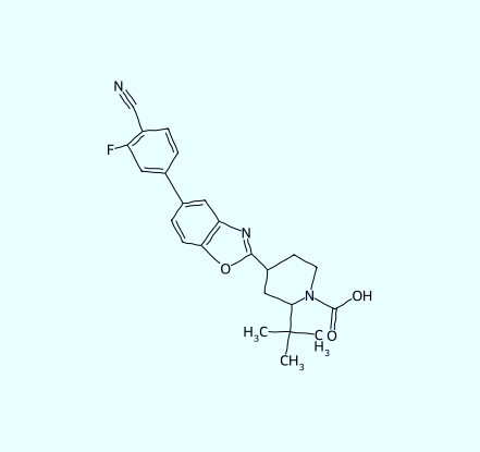 CC(C)(C)C1CC(c2nc3cc(-c4ccc(C#N)c(F)c4)ccc3o2)CCN1C(=O)O